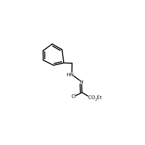 CCOC(=O)C(Cl)=NNCc1ccccc1